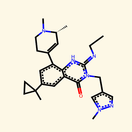 CC/N=c1\[nH]c2c(C3=C[C@@H](C)N(C)CC3)cc(C3(C)CC3)cc2c(=O)n1Cc1cnn(C)c1